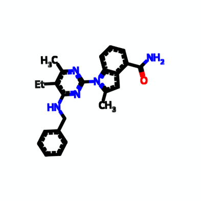 CCc1c(C)nc(-n2c(C)cc3c(C(N)=O)cccc32)nc1NCc1ccccc1